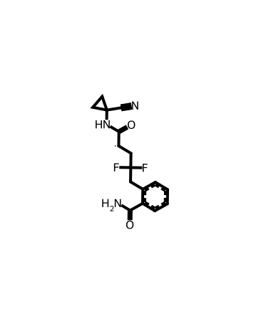 N#CC1(NC(=O)[CH]CC(F)(F)Cc2ccccc2C(N)=O)CC1